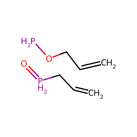 C=CCOP.C=CC[PH2]=O